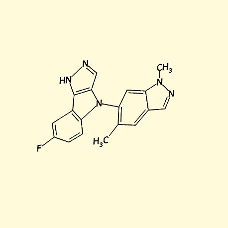 Cc1cc2cnn(C)c2cc1-n1c2ccc(F)cc2c2[nH]ncc21